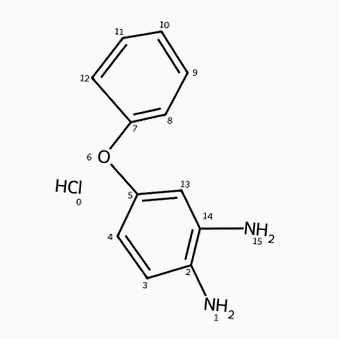 Cl.Nc1ccc(Oc2ccccc2)cc1N